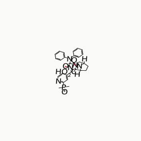 CN(Cc1ccnc(P(C)(C)=O)c1)C(=O)N1[C@H]2CC[C@@H]1[C@@H](C(=O)O)N(C(=O)N(c1ccccc1)c1ccccc1)C2